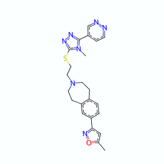 Cc1cc(-c2ccc3c(c2)CCN(CCSc2nnc(-c4ccnnc4)n2C)CC3)no1